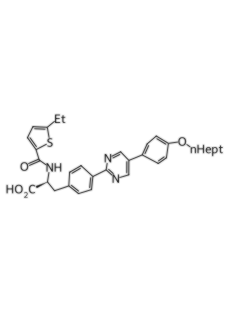 CCCCCCCOc1ccc(-c2cnc(-c3ccc(C[C@H](NC(=O)c4ccc(CC)s4)C(=O)O)cc3)nc2)cc1